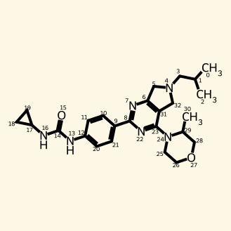 CC(C)CN1Cc2nc(-c3ccc(NC(=O)NC4CC4)cc3)nc(N3CCOCC3C)c2C1